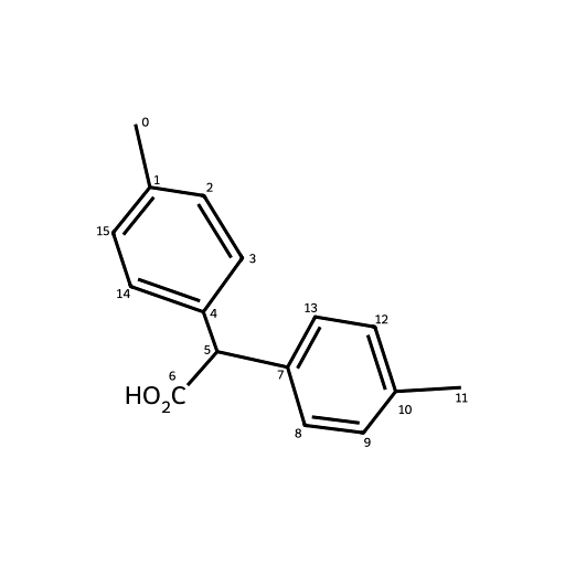 Cc1ccc(C(C(=O)O)c2ccc(C)cc2)cc1